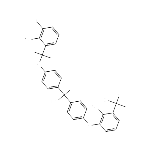 CCC(C)(Cl)c1cccc(Oc2ccc(C(c3ccc(OC(CC)(CC)c4cccc(Cl)c4C#N)cc3)(C(F)(F)F)C(F)(F)F)cc2)c1C#N